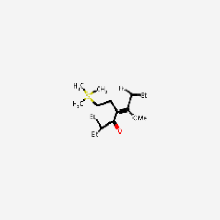 CCC(CC)C(=O)/C(CCS(C)(C)C)=C(\OC)C(CC)CC